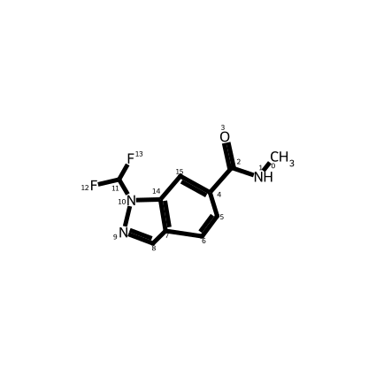 CNC(=O)c1ccc2cnn(C(F)F)c2c1